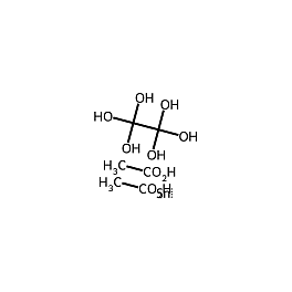 CC(=O)O.CC(=O)O.OC(O)(O)C(O)(O)O.[Sn]